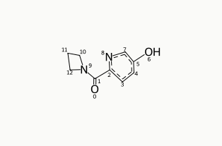 O=C(c1ccc(O)cn1)N1CCC1